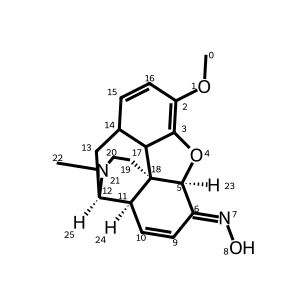 COC1=C2O[C@H]3C(=NO)C=C[C@H]4[C@H]5CC(C=C1)C2[C@@]34CCN5C